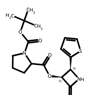 CC(C)(C)OC(=O)N1CCCC1C(=O)O[C@@H]1C(=O)N[C@@H]1c1cccs1